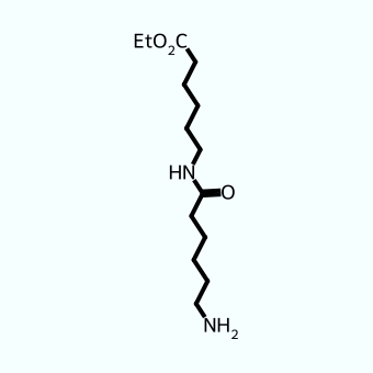 CCOC(=O)CCCCCNC(=O)CCCCCN